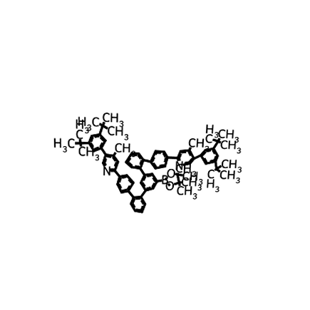 Cc1cc(-c2ccc(-c3ccccc3-c3cc(B4OC(C)(C)C(C)(C)O4)cc(-c4ccccc4-c4ccc(-c5cc(C)c(-c6cc(C(C)(C)C)cc(C(C)(C)C)c6)cn5)cc4)c3)cc2)ncc1-c1cc(C(C)(C)C)cc(C(C)(C)C)c1